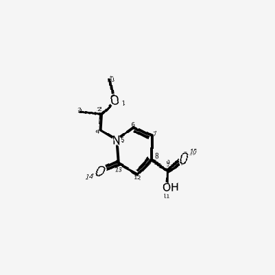 COC(C)Cn1ccc(C(=O)O)cc1=O